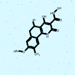 CCCCOc1cc2c(cc1C)-c1[nH]c(=O)c(C(=O)NO)c(O)c1C(C(C)C)C2